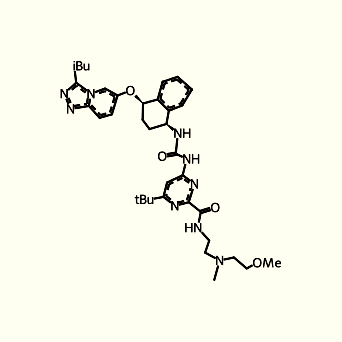 CCC(C)c1nnc2ccc(O[C@@H]3CC[C@H](NC(=O)Nc4cc(C(C)(C)C)nc(C(=O)NCCN(C)CCOC)n4)c4ccccc43)cn12